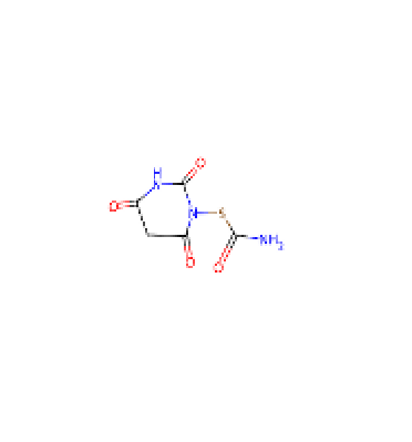 NC(=O)SN1C(=O)CC(=O)NC1=O